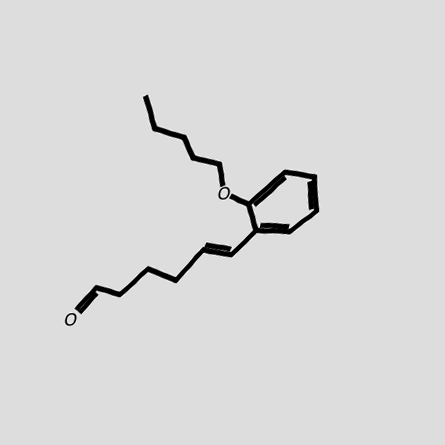 CCCCCOc1ccccc1C=CCCCC=O